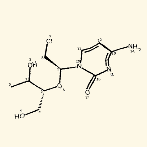 CC(O)[C@@H](CO)O[C@@H](CCl)n1ccc(N)nc1=O